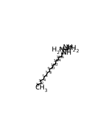 CCCCCCCCCCCCCCCCCCNC(N)(N)CN